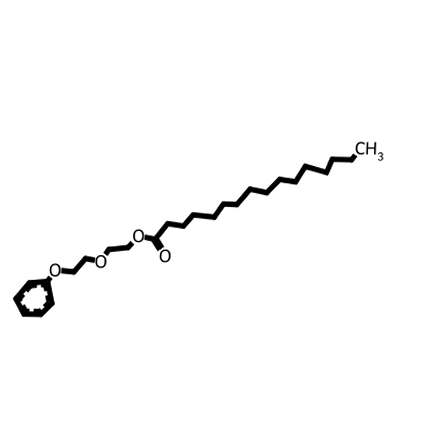 CCCCCCCCCCCCCCCC(=O)OCCOCCOc1ccccc1